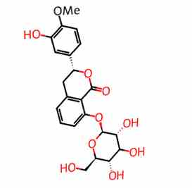 COc1ccc([C@H]2Cc3cccc(O[C@@H]4O[C@H](CO)[C@@H](O)C(O)[C@H]4O)c3C(=O)O2)cc1O